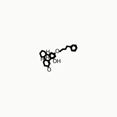 O=C1C=C2c3c(O)cc(OCCCCc4ccccc4)cc3[C@@H]3CCCC[C@H]3[C@@H]2CC1